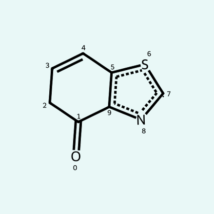 O=C1CC=Cc2s[c]nc21